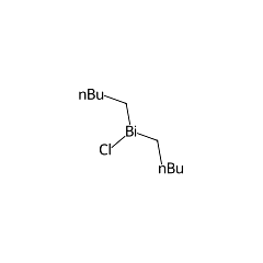 CCCC[CH2][Bi]([Cl])[CH2]CCCC